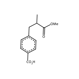 COC(=O)C(C)Cc1ccc(C(=O)O)cc1